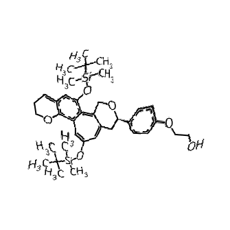 CC(C)(C)[Si](C)(C)OC1=Cc2c3c(cc(O[Si](C)(C)C(C)(C)C)c2=C2CO[C@@H](c4ccc(OCCO)cc4)CC2=C1)=CCCO3